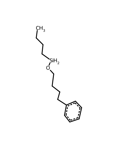 CCCC[SiH2]OCCCCc1ccccc1